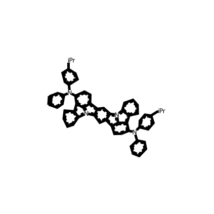 CC(C)c1ccc(N(c2cc#ccc2)c2ccc3c4cc5c(cc4n4c6ccccc6c2c34)c2ccc(N(c3ccccc3)c3ccc(C(C)C)cc3)c3c4ccccc4n5c23)cc1